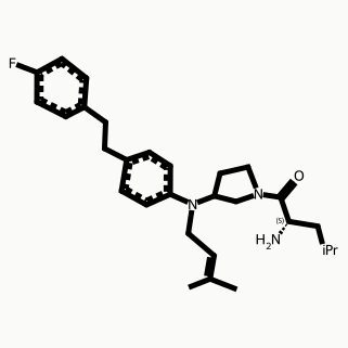 CC(C)=CCN(c1ccc(CCc2ccc(F)cc2)cc1)C1CCN(C(=O)[C@@H](N)CC(C)C)C1